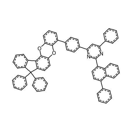 c1ccc(-c2cc(-c3ccc(-c4cccc5c4Oc4ccc6c(c4O5)-c4ccccc4C6(c4ccccc4)c4ccccc4)cc3)nc(-c3ccc(-c4ccccc4)c4ccccc34)n2)cc1